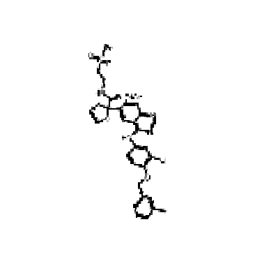 CCC(NCCS(=O)(=O)C(C)C)C1(c2cc3c(Nc4ccc(OCc5cccc(F)c5)c(Cl)c4)ncnc3cc2OC)CC=CO1